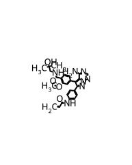 C=CC(=O)Nc1ccc(-c2nn3ncnc(N)c3c2-c2ccc(C(=O)NCC(C)(C)O)c(OC)c2)cc1